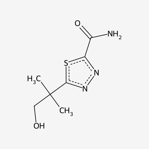 CC(C)(CO)c1nnc(C(N)=O)s1